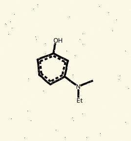 CCN(C)c1cccc(O)c1